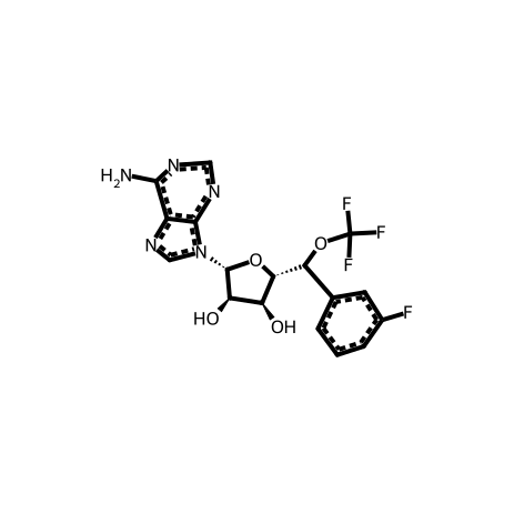 Nc1ncnc2c1ncn2[C@@H]1O[C@H](C(OC(F)(F)F)c2cccc(F)c2)[C@@H](O)[C@H]1O